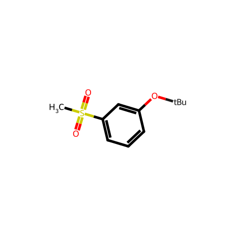 CC(C)(C)Oc1cccc(S(C)(=O)=O)c1